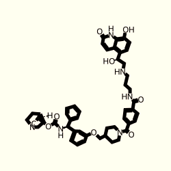 O=C(N[C@@H](c1ccccc1)c1cccc(OCC2CCN(C(=O)c3ccc(C(=O)NCCCNC[C@H](O)c4ccc(O)c5[nH]c(=O)ccc45)cc3)CC2)c1)O[C@H]1CN2CCC1CC2